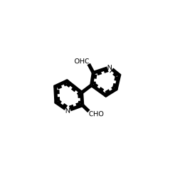 O=Cc1ncccc1-c1cccnc1C=O